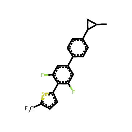 CC1CC1c1ccc(-c2cc(F)c(-c3ccc(C(F)(F)F)s3)c(F)c2)cc1